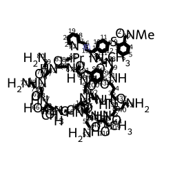 CNC(=O)c1ccccc1Sc1ccc2c(/C=C/c3ccccn3)nn(C(=O)N(C)CCNC(=O)CCC(=O)N[C@@H](CCN)C(=O)N[C@H](C(=O)N[C@@H](CCN)C(=O)N[C@H]3CCNC(=O)[C@H]([C@@H](C)O)NC(=O)[C@H](CCN)NC(=O)[C@H](CCN)NC(=O)[C@H](CC(C)C)NC(=O)[C@@H](Cc4ccccc4)NC(=O)[C@H](CCN)NC3=O)[C@@H](C)O)c2c1